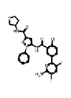 Nc1nc(-c2ccc(Cl)c(C(=O)Nc3cc(C(=O)NC4CCOC4)nn3-c3ccccc3)c2)c(F)cc1F